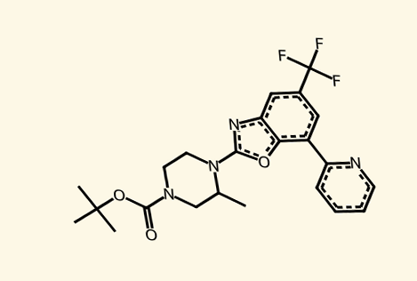 CC1CN(C(=O)OC(C)(C)C)CCN1c1nc2cc(C(F)(F)F)cc(-c3ccccn3)c2o1